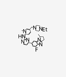 CCN1CCN(CC2=CN(C)C(Nc3nccc(-c4cc(F)c5nc6n(c5c4)C(C)CC6)n3)C=C2)CC1